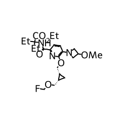 CCOC(=O)C(CC)(CC)NC(=O)c1ccc(N2CC(OC)C2)c(OC[C@@H]2C[C@@H]2COCF)n1